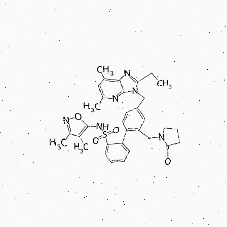 CCc1nc2c(C)cc(C)nc2n1Cc1ccc(-c2ccccc2S(=O)(=O)Nc2onc(C)c2C)c(CN2CCCC2=O)c1